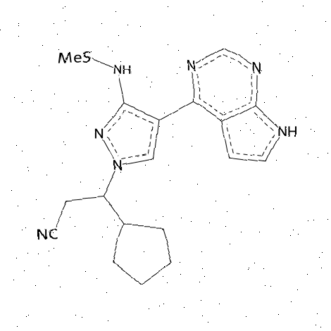 CSNc1nn(C(CC#N)C2CCCC2)cc1-c1ncnc2[nH]ccc12